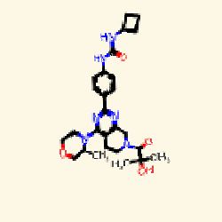 C[C@H]1COCCN1c1nc(-c2ccc(NC(=O)NC3CCC3)cc2)nc2c1CCN(C(=O)C(C)(C)O)C2